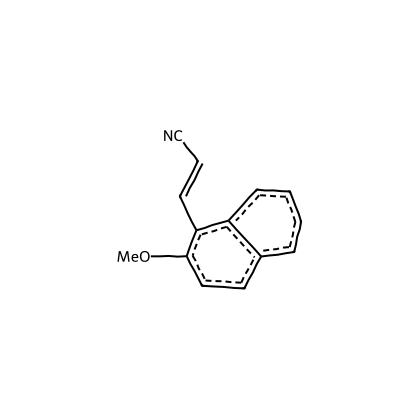 COc1ccc2ccccc2c1C=CC#N